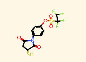 O=C1CC(S)C(=O)N1c1ccc(OS(=O)(=O)C(F)(F)C(F)F)cc1